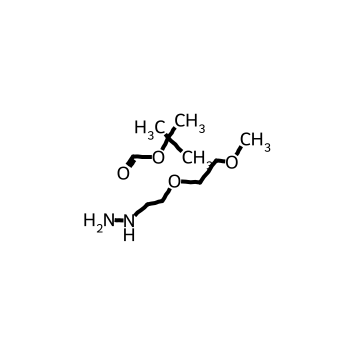 CC(C)(C)OC=O.COCCOCCNN